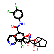 O=C(Nc1ccc(F)c(F)c1)c1ccc(Cl)c(S(=O)(=O)C2CC3CCC(C2)C3(O)C(O)c2cc(-c3cccnc3)on2)c1